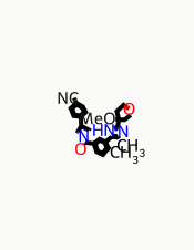 COC1(c2nc(C)c(-c3cc(C(=O)N4CC(c5ccc(C#N)cc5)C4)ccc3C)[nH]2)CCOCC1